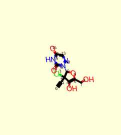 C#CC1(Cl)C(O)=C(CO)O[C@H]1n1ncc(=O)[nH]c1=O